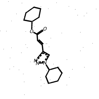 O=C(/C=C/c1cn(C2CCCCC2)nn1)OC1CCCCC1